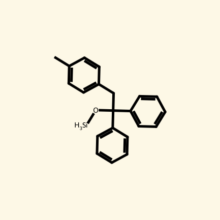 Cc1ccc(CC(O[SiH3])(c2ccccc2)c2ccccc2)cc1